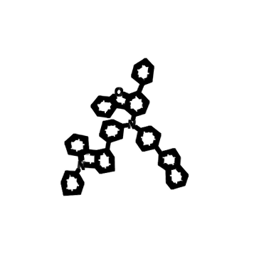 c1ccc(-c2ccc(N(c3ccc(-c4ccc5ccccc5c4)cc3)c3cccc(-c4cccc5c4c4ccccc4n5-c4ccccc4)c3)c3c2oc2ccccc23)cc1